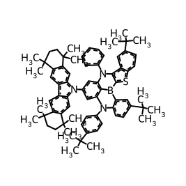 CC(C)(C)c1ccc(N2c3ccc(C(C)(C)C)cc3B3c4sc5ccc(C(C)(C)C)cc5c4N(c4ccccc4)c4cc(-n5c6cc7c(cc6c6cc8c(cc65)C(C)(C)CCC8(C)C)C(C)(C)CCC7(C)C)cc2c43)cc1